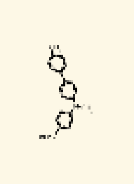 CCCCCCc1ccc(N(C)c2ccc(-c3ccc(C)cc3)cc2)cc1